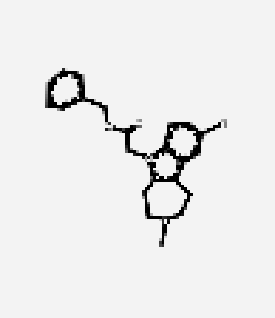 CN1CCc2c(n(CC(=O)OCc3ccccc3)c3ccc(Cl)cc23)CC1